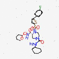 O=C(NOC1CCCCO1)[C@H]1CN(C(=O)NC2CCCCC2)CCN1S(=O)(=O)c1ccc(-c2ccc(F)cc2)s1